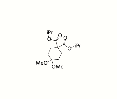 COC1(OC)CCC(C(=O)OC(C)C)(C(=O)OC(C)C)CC1